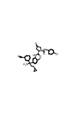 N#Cc1cccc(C(N)(CCC2CC2)c2ccc(F)c(NC(=O)[C@H]3CC(=O)CN3C(=O)Nc3ccc(Cl)cc3)c2)c1